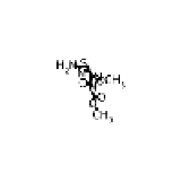 CCOC(=O)C[N]C(=O)C(=NOC)c1csc(N)n1